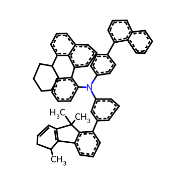 CC1CC=CC2=C1c1cccc(-c3cccc(N(c4ccc(-c5cccc6ccccc56)cc4)c4ccccc4-c4cccc5cccc(C6CCCCC6)c45)c3)c1C2(C)C